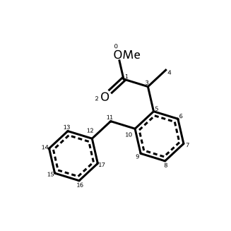 COC(=O)C(C)c1ccccc1Cc1ccccc1